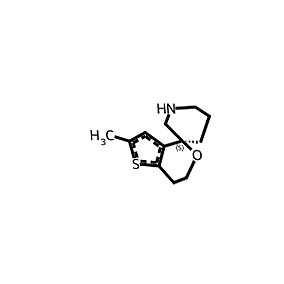 Cc1cc2c(s1)CCO[C@@]21CCCNC1